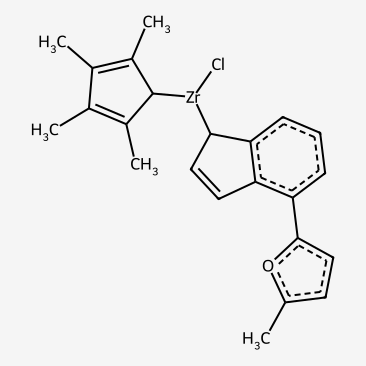 CC1=C(C)[CH]([Zr]([Cl])[CH]2C=Cc3c(-c4ccc(C)o4)cccc32)C(C)=C1C